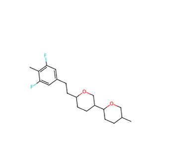 Cc1c(F)cc(CCC2CCC(C3CCC(C)CO3)CO2)cc1F